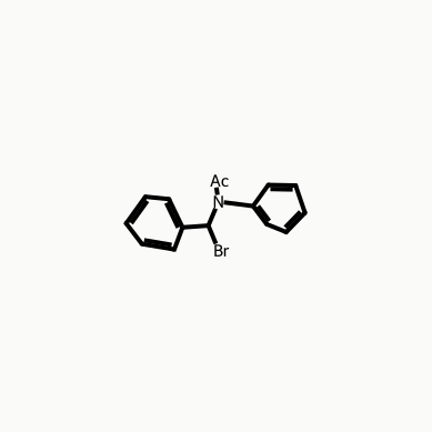 CC(=O)N(c1ccccc1)C(Br)c1ccccc1